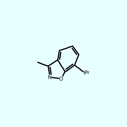 Cc1noc2c(C(C)C)cccc12